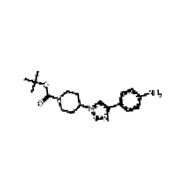 CC(C)(C)OC(=O)N1CCC(n2cc(-c3ccc(N)cc3)nn2)CC1